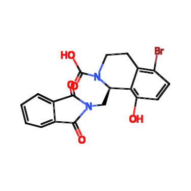 O=C1c2ccccc2C(=O)N1C[C@@H]1c2c(O)ccc(Br)c2CCN1C(=O)O